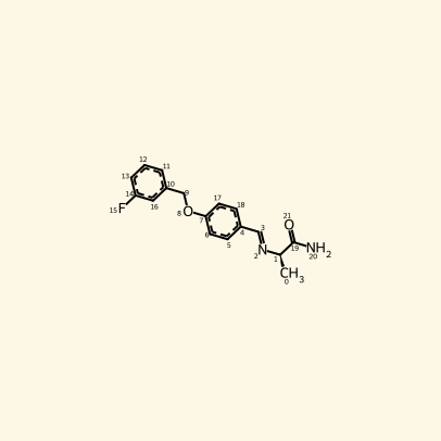 C[C@@H](/N=C/c1ccc(OCc2cccc(F)c2)cc1)C(N)=O